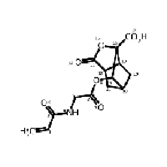 C=CC(=O)NCC(=O)OC1C2CC3C(=O)OC1(C(=O)O)C3C2